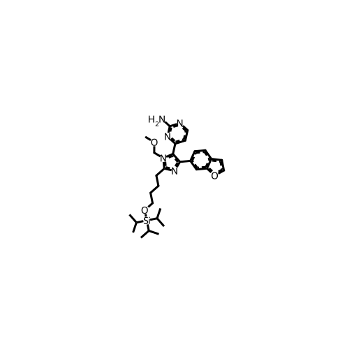 COCn1c(CCCCO[Si](C(C)C)(C(C)C)C(C)C)nc(-c2ccc3ccoc3c2)c1-c1ccnc(N)n1